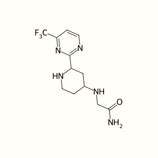 NC(=O)CNC1CCNC(c2nccc(C(F)(F)F)n2)C1